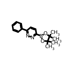 CC1(C)OB(c2ccc(-c3ccccc3)nn2)OC1(C)C